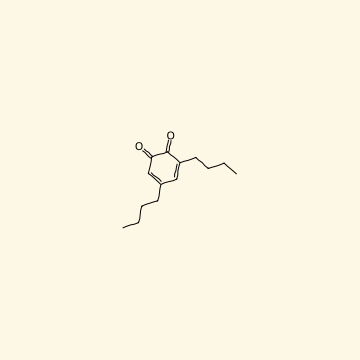 CCCCC1=CC(=O)C(=O)C(CCCC)=C1